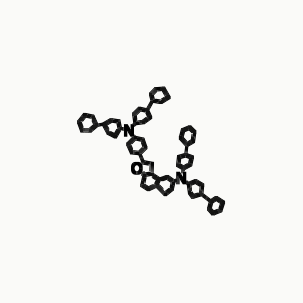 c1ccc(-c2ccc(N(c3ccc(-c4ccccc4)cc3)c3ccc(-c4cc5c(ccc6ccc(N(c7ccc(-c8ccccc8)cc7)c7ccc(-c8ccccc8)cc7)cc65)o4)cc3)cc2)cc1